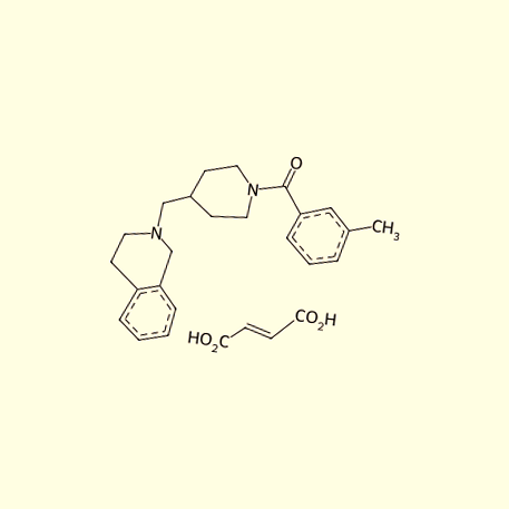 Cc1cccc(C(=O)N2CCC(CN3CCc4ccccc4C3)CC2)c1.O=C(O)/C=C/C(=O)O